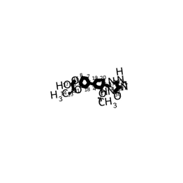 CCOc1cc(-c2cccc(O[C@@H](CC)C(=O)O)c2)ccc1-c1nc2[nH]cnc2c(=O)[nH]1